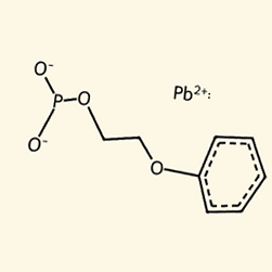 [O-]P([O-])OCCOc1ccccc1.[Pb+2]